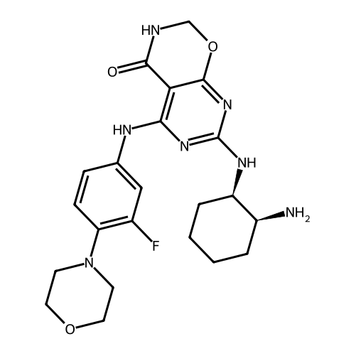 N[C@H]1CCCC[C@H]1Nc1nc(Nc2ccc(N3CCOCC3)c(F)c2)c2c(n1)OCNC2=O